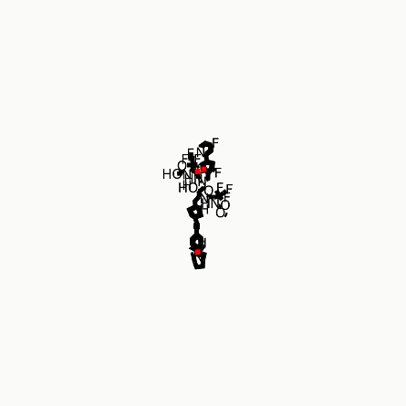 COC(=O)NC(C(=O)NC(Cc1ccc(C#Cc2ccc(N3CC4CCC(C3)N4C3COC3)nc2)cc1)C(O)CN(Cc1c(F)cc(-c2cc(F)ccn2)cc1F)NC(=O)C(NC(=O)O)C(C)(C)C(F)(F)F)C(C)(C)C(F)(F)F